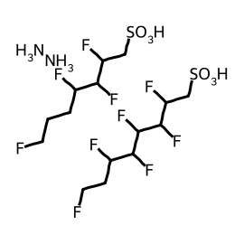 N.N.O=S(=O)(O)CC(F)C(F)C(F)C(F)C(F)CCF.O=S(=O)(O)CC(F)C(F)C(F)CCCF